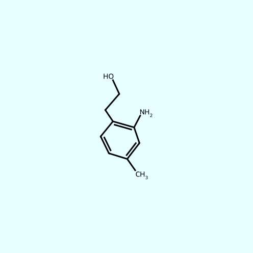 Cc1ccc(CCO)c(N)c1